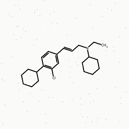 CCN(C/C=C/c1ccc(C2CCCCC2)c(Cl)c1)C1CCCCC1